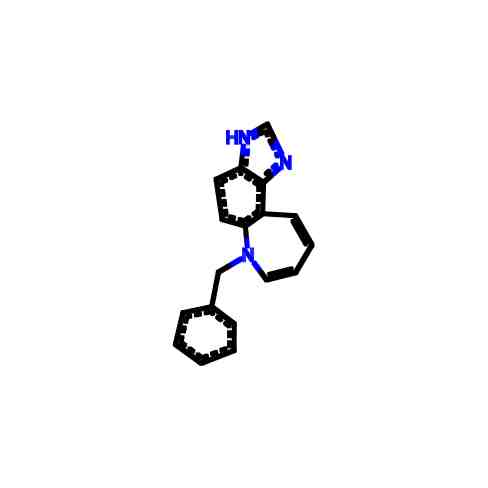 C1=Cc2c(ccc3[nH]cnc23)N(Cc2ccccc2)C=C1